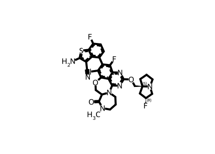 CN1CCCN2c3nc(OC[C@@]45CCCN4C[C@H](F)C5)nc4c(F)c(-c5ccc(F)c6sc(N)c(C#N)c56)c(Cl)c(c34)OCC2C1=O